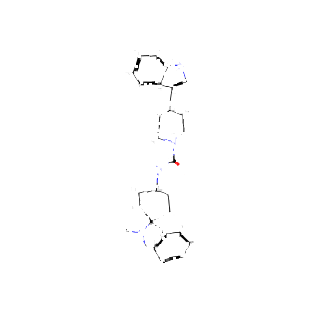 CN(C)C1(c2ccccc2)CCC(NC(=O)N2CCC(c3c[nH]c4ccccc34)CC2)CC1